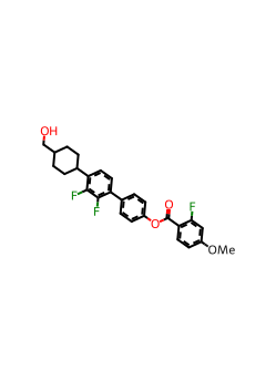 COc1ccc(C(=O)Oc2ccc(-c3ccc(C4CCC(CO)CC4)c(F)c3F)cc2)c(F)c1